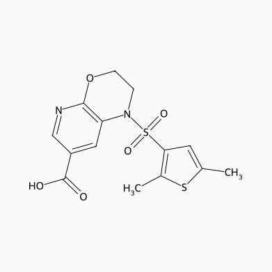 Cc1cc(S(=O)(=O)N2CCOc3ncc(C(=O)O)cc32)c(C)s1